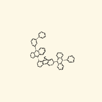 c1ccc(-c2cccc(-c3c4ccccc4c(-c4cccc5c4sc4cc(-c6c7ccccc7c(-c7ccccc7)c7ccccc67)ccc45)c4ccccc34)c2)cc1